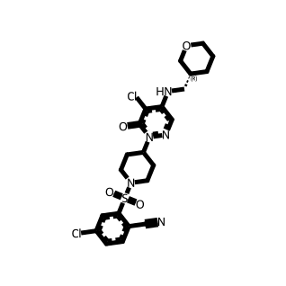 N#Cc1ccc(Cl)cc1S(=O)(=O)N1CCC(n2ncc(NC[C@H]3CCCOC3)c(Cl)c2=O)CC1